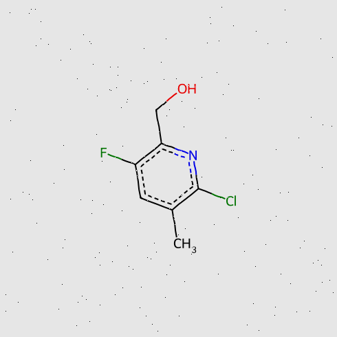 Cc1cc(F)c(CO)nc1Cl